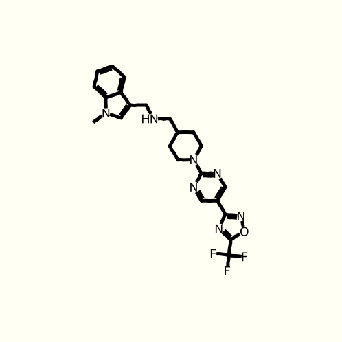 Cn1cc(CNCC2CCN(c3ncc(-c4noc(C(F)(F)F)n4)cn3)CC2)c2ccccc21